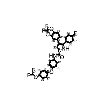 O=C(Nc1ccc(Oc2ccc(OC(F)F)cc2)cc1)N1CC(c2ccc3c(c2)OC(F)(F)O3)=C(c2ccc(F)cc2)N1